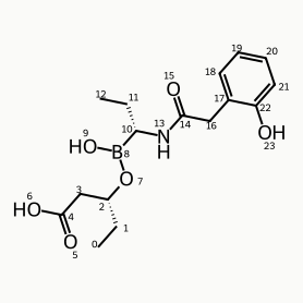 CC[C@H](CC(=O)O)OB(O)[C@H](CC)NC(=O)Cc1ccccc1O